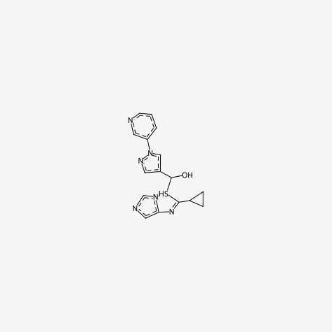 OC(c1cnn(-c2cccnc2)c1)[SH]1C(C2CC2)=Nc2cncn21